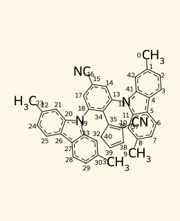 Cc1ccc2c3ccc(C)cc3n(-c3cc(C#N)cc(-n4c5cc(C)ccc5c5ccc(C)cc54)c3C3=C(C#N)C=CC3)c2c1